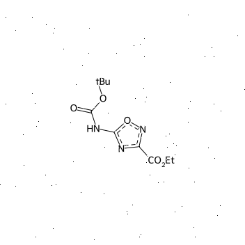 CCOC(=O)c1noc(NC(=O)OC(C)(C)C)n1